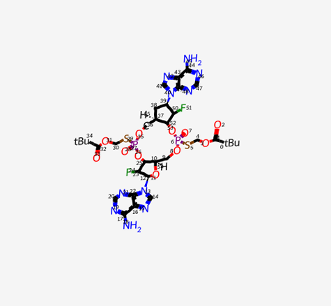 CC(C)(C)C(=O)OCSP1(=O)OC[C@H]2O[C@@H](n3cnc4c(N)ncnc43)C(F)C2OP(=O)(SCOC(=O)C(C)(C)C)OC[C@H]2C[C@@H](n3cnc4c(N)ncnc43)C(F)C2O1